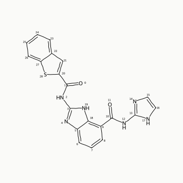 O=C(Nc1nc2cccc(C(=O)Nc3ncc[nH]3)c2[nH]1)c1cc2ccccc2s1